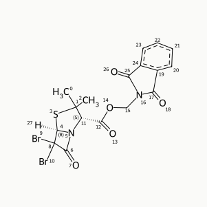 CC1(C)S[C@H]2N(C(=O)C2(Br)Br)[C@H]1C(=O)OCN1C(=O)c2ccccc2C1=O